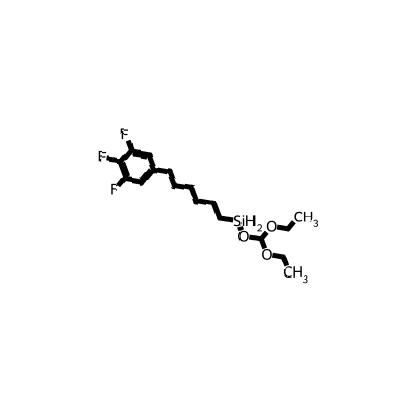 CCOC(OCC)O[SiH2]CCCCCCc1cc(F)c(F)c(F)c1